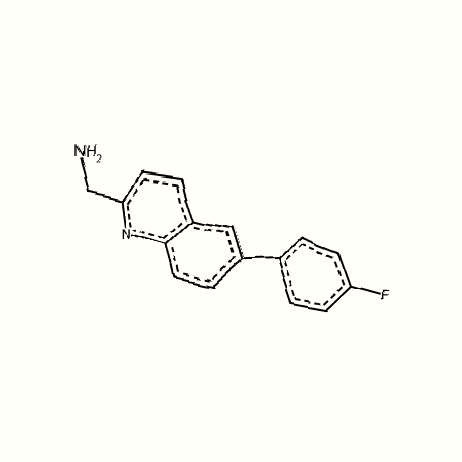 NCc1ccc2cc(-c3ccc(F)cc3)ccc2n1